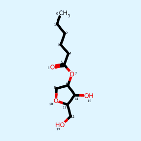 CCCCCC(=O)OC1COC(CO)C1O